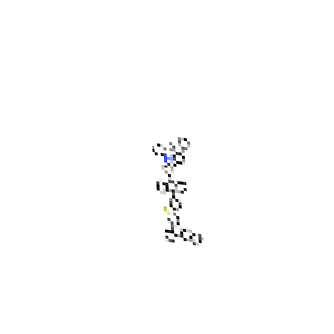 CC1(C)c2ccccc2-c2ccc3c4cc(-c5c6ccccc6c(-c6ccc7c(c6)sc6cc8c9ccccc9c9cc%10ccccc%10cc9c8cc67)c6ccccc56)ccc4n(-c4ccccc4)c3c21